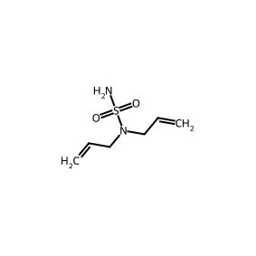 C=CCN(CC=C)S(N)(=O)=O